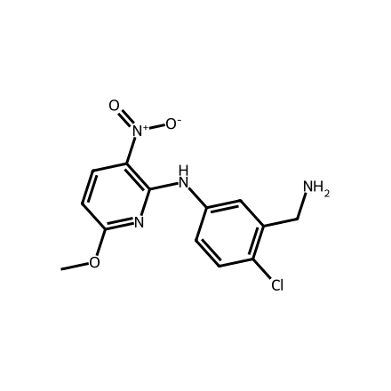 COc1ccc([N+](=O)[O-])c(Nc2ccc(Cl)c(CN)c2)n1